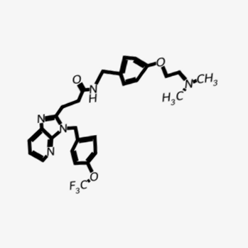 CN(C)CCOc1ccc(CNC(=O)CCc2nc3cccnc3n2Cc2ccc(OC(F)(F)F)cc2)cc1